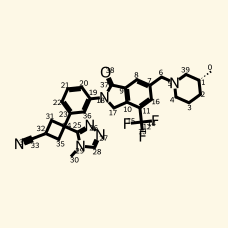 C[C@@H]1CCCN(Cc2cc3c(c(C(F)(F)F)c2)CN(c2cccc(C4(c5nncn5C)CC(C#N)C4)c2)C3=O)C1